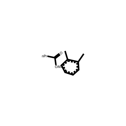 CCCC(=O)OC.Cc1ccccc1C